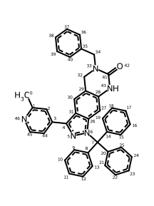 Cc1cc(-c2nn(C(c3ccccc3)(c3ccccc3)c3ccccc3)c3cc4c(cc23)CN(Cc2ccccc2)C(=O)N4)ccn1